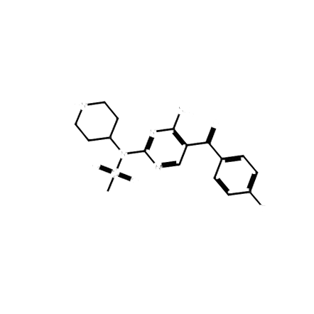 CS(=O)(=O)N(c1ncc(C(=O)c2ccc(F)cc2)c(N)n1)C1CCNCC1